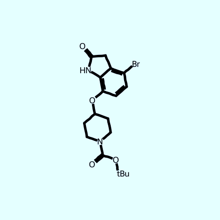 CC(C)(C)OC(=O)N1CCC(Oc2ccc(Br)c3c2NC(=O)C3)CC1